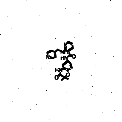 CC1(C)Oc2ccc(NC(=O)c3cccnc3NCc3ccncc3)cc2NC1=O